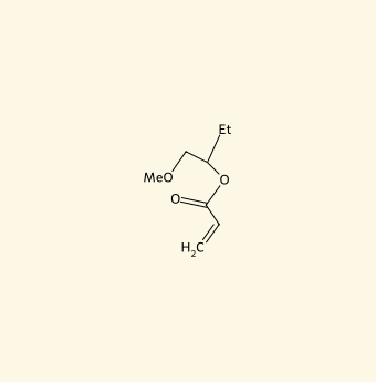 C=CC(=O)OC(CC)COC